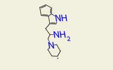 NC(Cc1c[nH]c2ccccc12)CN1CC[CH]CC1